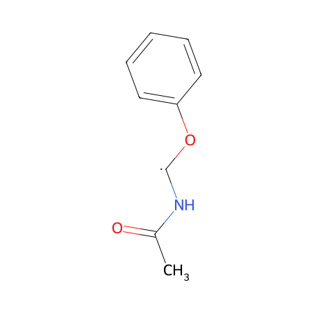 CC(=O)N[CH]Oc1ccccc1